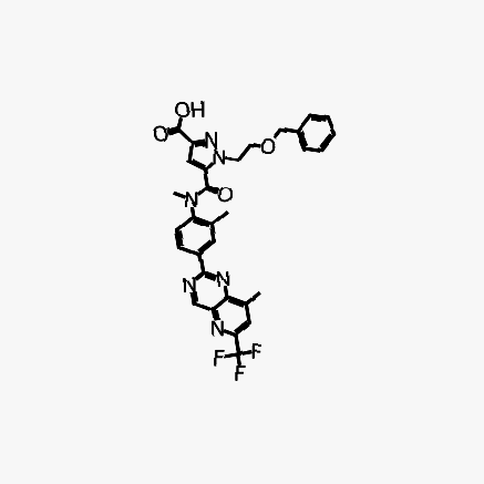 Cc1cc(-c2ncc3nc(C(F)(F)F)cc(C)c3n2)ccc1N(C)C(=O)c1cc(C(=O)O)nn1CCOCc1ccccc1